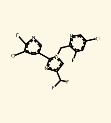 Fc1cc(Cl)cnc1Cn1cc(C(F)F)nc1-c1cnc(F)c(Cl)c1